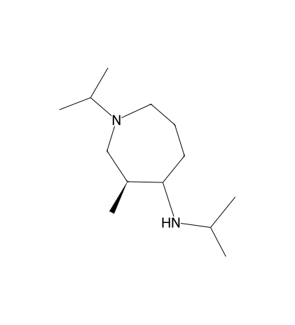 CC(C)NC1CCCN(C(C)C)C[C@@H]1C